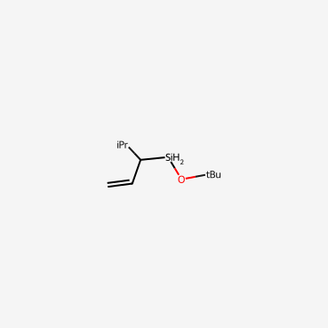 C=CC([SiH2]OC(C)(C)C)C(C)C